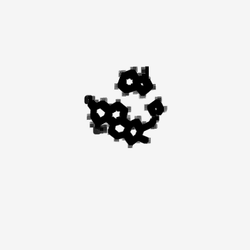 CC1C=C2CCc3c4c(ccc3=C2C=C1CN1CCC1)=CC(=O)C=C4O.c1ccc2[nH]ccc2c1